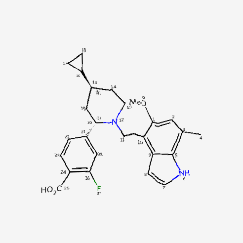 COc1cc(C)c2[nH]ccc2c1CN1CC[C@H](C2CC2)C[C@H]1c1ccc(C(=O)O)c(F)c1